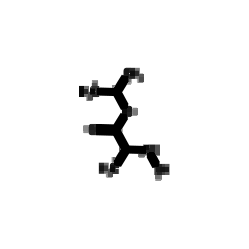 CC(C)OC(=O)C(C)NS